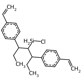 C=Cc1ccc(C(CC)C([SiH2]Cl)C(CC)c2ccc(C=C)cc2)cc1